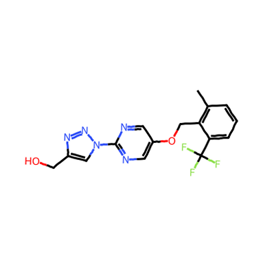 Cc1cccc(C(F)(F)F)c1COc1cnc(-n2cc(CO)nn2)nc1